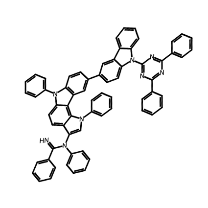 N=C(c1ccccc1)N(c1ccccc1)c1cn(-c2ccccc2)c2c1ccc1c2c2cc(-c3ccc4c(c3)c3ccccc3n4-c3nc(-c4ccccc4)nc(-c4ccccc4)n3)ccc2n1-c1ccccc1